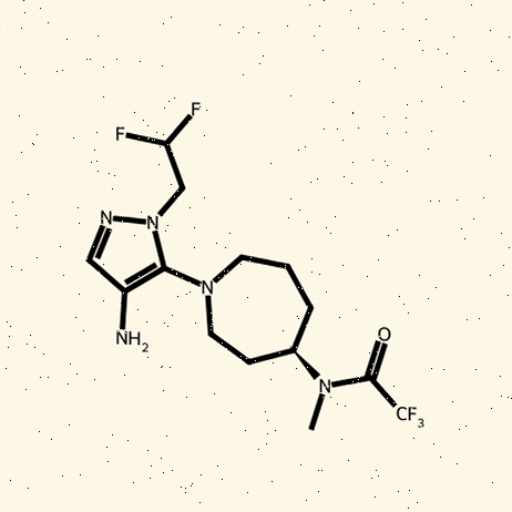 CN(C(=O)C(F)(F)F)[C@@H]1CCCN(c2c(N)cnn2CC(F)F)CC1